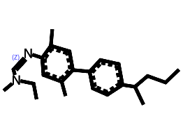 CCCC(C)c1ccc(-c2cc(C)c(/N=C\N(C)CC)cc2C)cc1